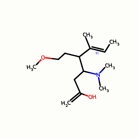 C=C(O)CC(C(CCOC)/C(C)=C/C)N(C)C